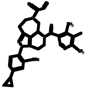 C=CC(=O)N1CCc2nn(-c3ccc(C4CC4)cc3OC(C)=O)c3c2C(C1)N(C(=O)c1cnc(C(F)(F)F)c(C)c1N)CC3